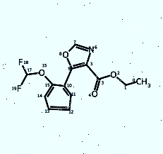 CCOC(=O)c1ncoc1-c1ccccc1OC(F)F